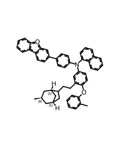 Cc1ccccc1Oc1ccc(N(c2ccc(-c3ccc4c(c3)oc3ccccc34)cc2)c2cccc3ccccc23)cc1CCC1C[C@@H]2C[C@@H](C)C[C@H]1C2